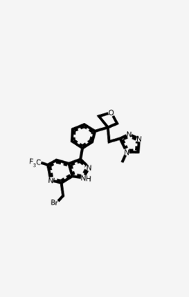 Cn1cnnc1CC1(c2cccc(-c3n[nH]c4c(CBr)nc(C(F)(F)F)cc34)c2)COC1